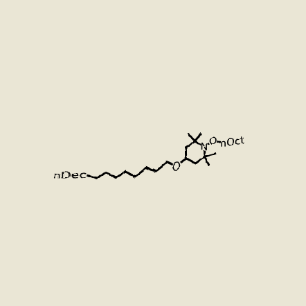 CCCCCCCCCCCCCCCCCCOC1CC(C)(C)N(OCCCCCCCC)C(C)(C)C1